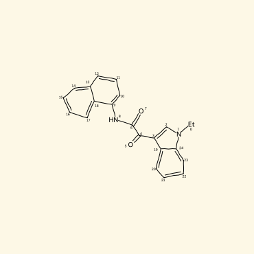 CCn1cc(C(=O)C(=O)Nc2cccc3ccccc23)c2ccccc21